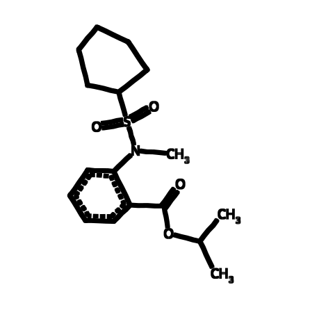 CC(C)OC(=O)c1ccccc1N(C)S(=O)(=O)C1CCCCC1